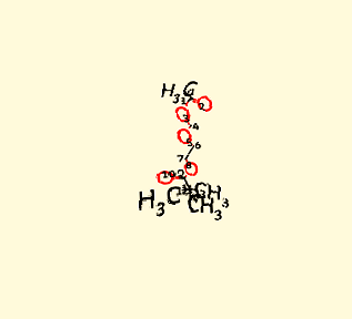 CC(=O)OCOCCOC(=O)C(C)(C)C